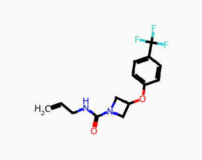 C=CCNC(=O)N1CC(Oc2ccc(C(F)(F)F)cc2)C1